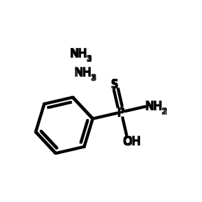 N.N.NP(O)(=S)c1ccccc1